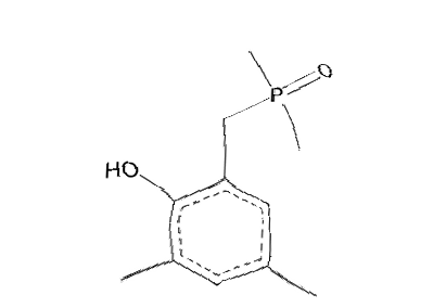 Cc1cc(C)c(O)c(CP(C)(C)=O)c1